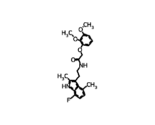 COc1cccc(OCC(=O)NCCc2c(C)[nH]c3c(F)ccc(C)c23)c1OC